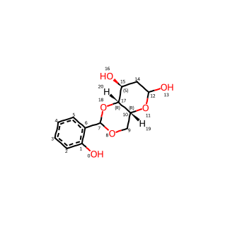 Oc1ccccc1C1OC[C@H]2OC(O)C[C@H](O)[C@H]2O1